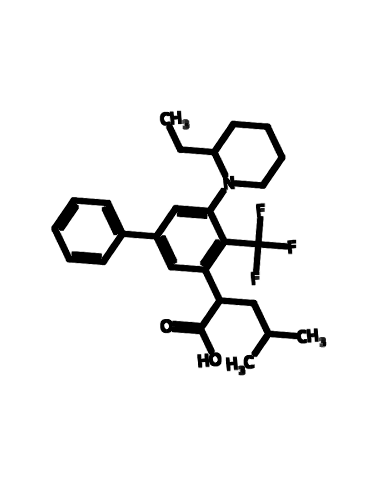 CCC1CCCCN1c1cc(-c2ccccc2)cc(C(CC(C)C)C(=O)O)c1C(F)(F)F